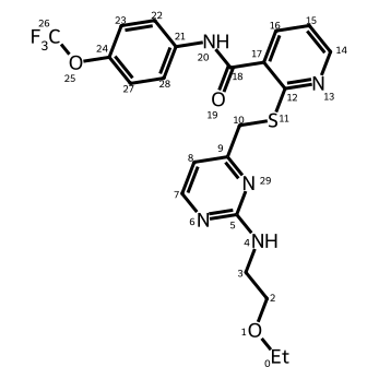 CCOCCNc1nccc(CSc2ncccc2C(=O)Nc2ccc(OC(F)(F)F)cc2)n1